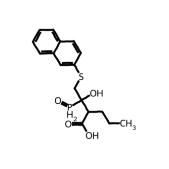 CCCC(C(=O)O)C(O)(CSc1ccc2ccccc2c1)[PH2]=O